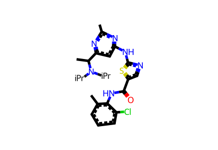 Cc1nc(Nc2ncc(C(=O)Nc3c(C)cccc3Cl)s2)cc(C(C)N(C(C)C)C(C)C)n1